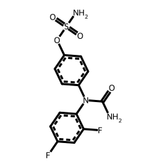 NC(=O)N(c1ccc(OS(N)(=O)=O)cc1)c1ccc(F)cc1F